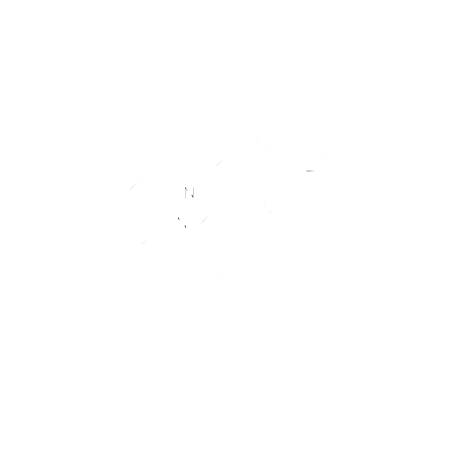 c1ccc(-c2cccc(-c3cc(-c4cccc5c4-c4ccccc4C54c5ccccc5-c5ccccc5-c5ccccc54)nc(-c4ccccc4-c4ccccc4)n3)c2)cc1